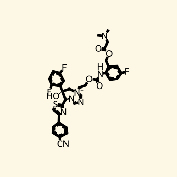 C[C@@H](c1nc(-c2ccc(C#N)cc2)cs1)[C@](O)(C[N+]1(CCOC(=O)Nc2ccc(F)cc2COC(=O)CN(C)C)C=NC=N1)c1cc(F)ccc1F